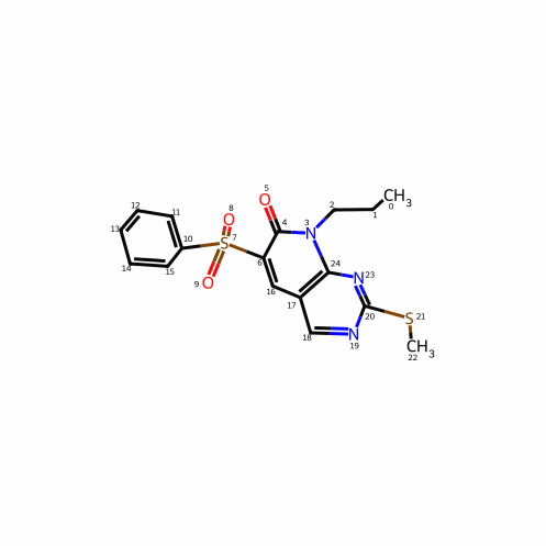 CCCn1c(=O)c(S(=O)(=O)c2ccccc2)cc2cnc(SC)nc21